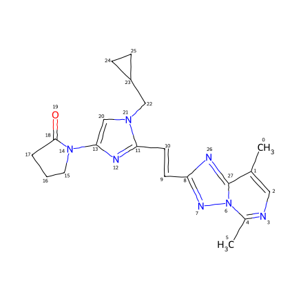 Cc1cnc(C)n2nc(C=Cc3nc(N4CCCC4=O)cn3CC3CC3)nc12